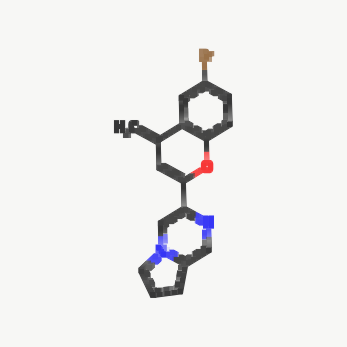 C=C1C=C(c2cn3cccc3cn2)Oc2ccc(Br)cc21